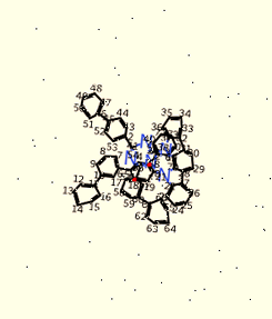 C1=CC(c2cc(-c3cccc(-c4ccccc4)c3)ccc2-n2c3ccccc3c3ccc4c5ccccc5n(-c5nc(-c6ccc(-c7ccccc7)cc6)nc(-c6cccc(-c7ccccc7)c6)n5)c4c32)=CCC1